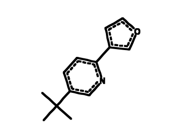 CC(C)(C)c1ccc(-c2ccoc2)nc1